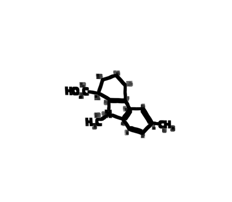 Cc1ccc2c(c1)c1c(n2C)C(C(=O)O)CCC1